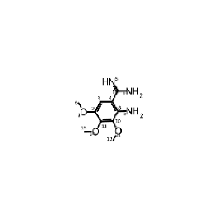 COc1cc(C(=N)N)c(N)c(OC)c1OC